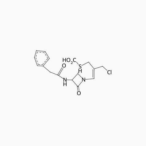 O=C(Cc1ccccc1)NC1C(=O)N2C=C(CCl)C[SH](C(=O)O)C12